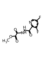 COC(=O)C(=O)NNC(=O)c1ncc(F)cc1F